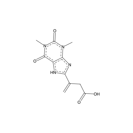 C=C(CC(=O)O)c1nc2c([nH]1)c(=O)n(C)c(=O)n2C